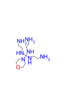 NCCNC(NCCN)(NCCN)N1CCOCC1